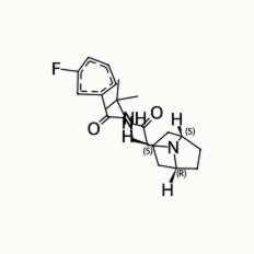 CC(C)(C)NC(=O)CN1[C@@H]2CC[C@H]1C[C@H](CNC(=O)c1cccc(F)c1)C2